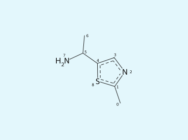 Cc1ncc(C(C)N)s1